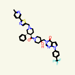 Cc1ccc(-c2ncc(CN3CC[C@@H](C(=O)N4CCC(O)(Cn5cnc6c(ccn6-c6ccc(C(F)(F)F)cc6)c5=O)CC4)[C@H](c4ccccc4)C3)s2)cn1